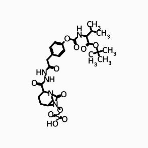 CC(C)C(NC(=O)Oc1ccc(CC(=O)NNC(=O)C2CCC3CN2C(=O)N3OS(=O)(=O)O)cc1)C(=O)OC(C)(C)C